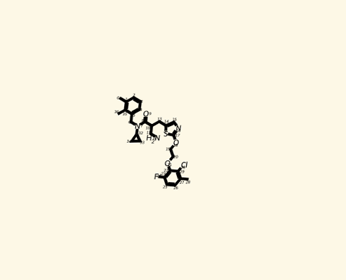 Cc1cccc(CN(C(=O)C(CN)Cc2cnc(OCCOc3c(F)ccc(C)c3Cl)s2)C2CC2)c1C